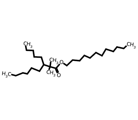 CCCCCCCCCCCCOC(=O)C(C)(C)C(CCCCC)CCCCCC